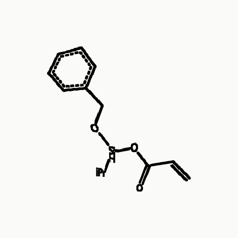 C=CC(=O)O[SiH](OCc1ccccc1)C(C)C